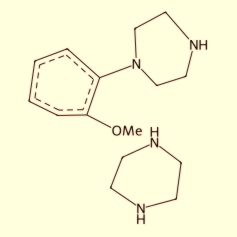 C1CNCCN1.COc1ccccc1N1CCNCC1